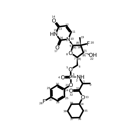 CC(N[P@](=O)(OC[C@H]1O[C@@H](n2ccc(=O)[nH]c2=O)[C@](C)(F)[C@@H]1O)Oc1ccc(F)cc1)C(=O)OC1CCCCC1